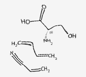 C=CC#N.C=CC=C.N[C@@H](CO)C(=O)O